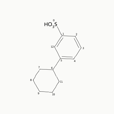 O=S(=O)(O)c1cccc(C2CCCCC2)c1